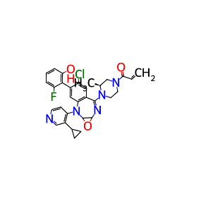 C=CC(=O)N1CCN(C2=NC3OC3N(c3ccncc3C3CC3)c3cc(-c4c(O)cccc4F)c(Cl)cc32)[C@@H](C)C1